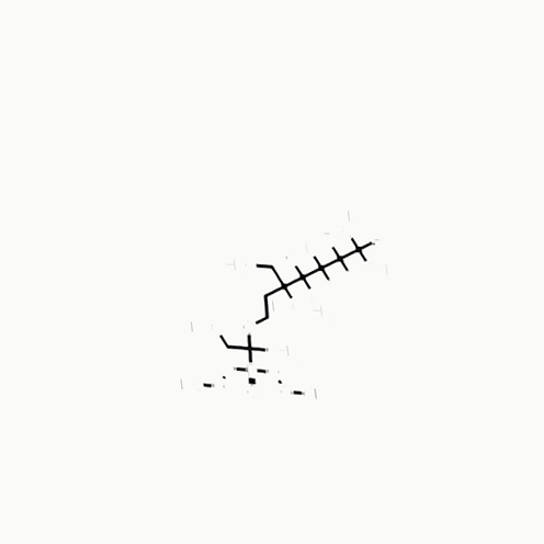 CCC(C)(CCOC(C)(CC)P(=O)(OOC)OOC)C(C)(C)C(F)(F)C(F)(F)C(C)(C)F